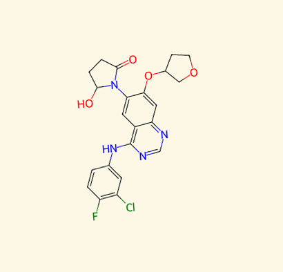 O=C1CCC(O)N1c1cc2c(Nc3ccc(F)c(Cl)c3)ncnc2cc1OC1CCOC1